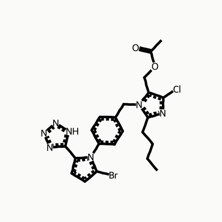 CCCCc1nc(Cl)c(COC(C)=O)n1Cc1ccc(-n2c(Br)ccc2-c2nnn[nH]2)cc1